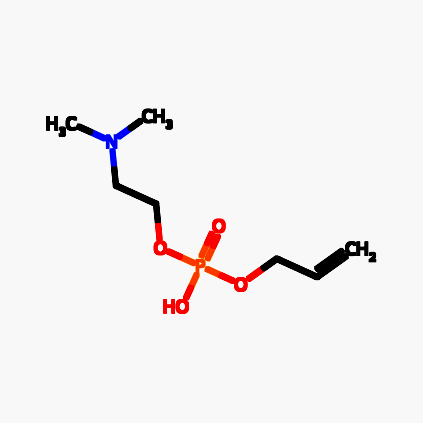 C=CCOP(=O)(O)OCCN(C)C